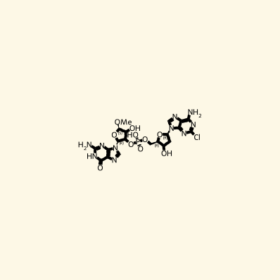 CO[C@H]1O[C@@H](n2cnc3c(=O)[nH]c(N)nc32)C(OP(=O)(O)OC[C@H]2O[C@@H](n3cnc4c(N)nc(Cl)nc43)CC2O)C1O